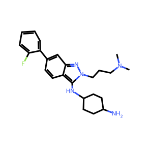 CN(C)CCCn1nc2cc(-c3ccccc3F)ccc2c1NC1CCC(N)CC1